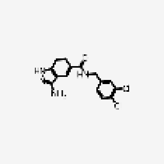 Nc1n[nH]c2c1C=C(C(=O)NCc1ccc(Cl)c(Cl)c1)CC2